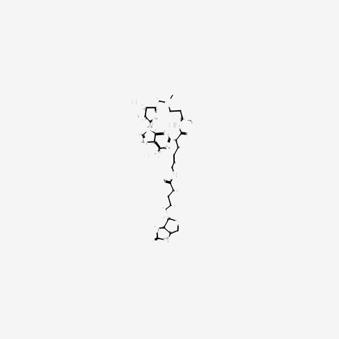 C[SH](CC[C@H](NC(=O)CCCCCNC(=O)CCCC[C@H]1SCC2NC(=O)NC21)C(=O)O)C[C@H]1O[C@@H](n2cnc3c(N)ncnc32)[C@H](O)[C@@H]1O